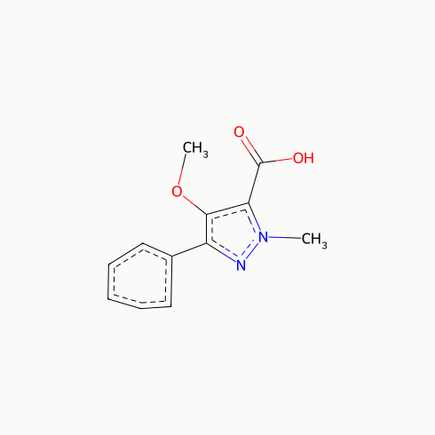 COc1c(-c2ccccc2)nn(C)c1C(=O)O